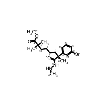 CNNC(=O)C(C)(CCCCC(C)(C)C(=O)OC)c1cccc(Br)c1